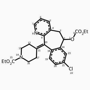 CCOC(=O)OC1Cc2cccnc2C(=C2CCN(C(=O)OCC)CC2)c2ccc(Cl)cc21